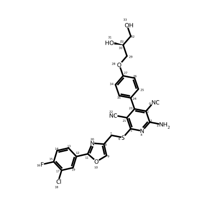 [C-]#[N+]c1c(N)nc(SCc2coc(-c3ccc(F)c(Cl)c3)n2)c(C#N)c1-c1ccc(OC[C@@H](O)CO)cc1